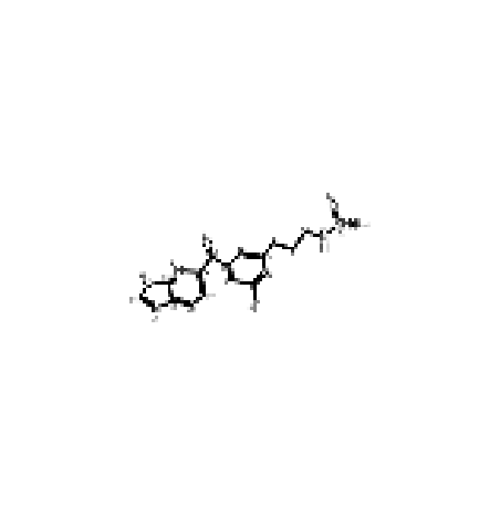 O=C(c1cc(F)cc(CCCN[SH](=O)=O)c1)c1ccc2ncoc2n1